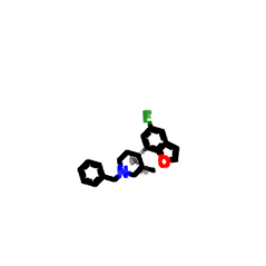 C[C@H]1CN(Cc2ccccc2)CC[C@@H]1c1cc(F)cc2ccoc12